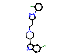 Fc1ccccc1-n1cc(CCN2CCC(c3c[nH]c4ccc(Cl)cc34)CC2)cn1